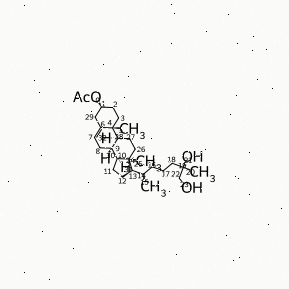 CC(=O)O[C@H]1CC[C@@]2(C)C(=CC[C@H]3[C@@H]4CC[C@H]([C@H](C)CCCC(C)(O)CO)[C@@]4(C)CC[C@@H]32)C1